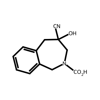 N#CC1(O)Cc2ccccc2CN(C(=O)O)C1